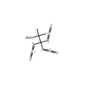 CCCC(C)C(C)(C)C(N=C=O)(N=C=O)N=C=O